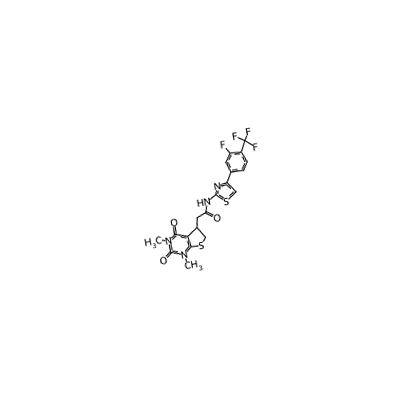 Cn1c2c(c(=O)n(C)c1=O)C(CC(=O)Nc1nc(-c3ccc(C(F)(F)F)c(F)c3)cs1)CS2